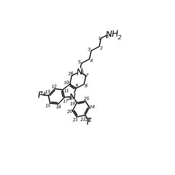 NCCCCCN1CCc2c(c3cc(F)ccc3n2-c2ccc(F)cc2)C1